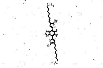 CCCCCCCCc1cc(-c2c(F)c(F)c(-c3cc(CCCCCCCC)c(Br)s3)c3nsnc23)sc1Br